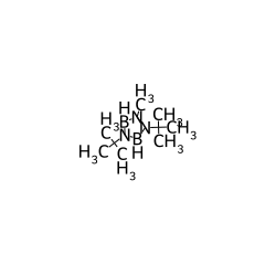 CN1BN(C(C)(C)C)BN1C(C)(C)C